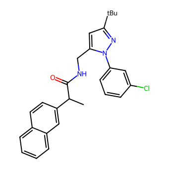 CC(C(=O)NCc1cc(C(C)(C)C)nn1-c1cccc(Cl)c1)c1ccc2ccccc2c1